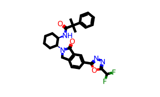 CC(C)(C(=O)N[C@@H]1CCCC[C@H]1N1Cc2ccc(-c3nnc(C(F)F)o3)cc2C1=O)c1ccccc1